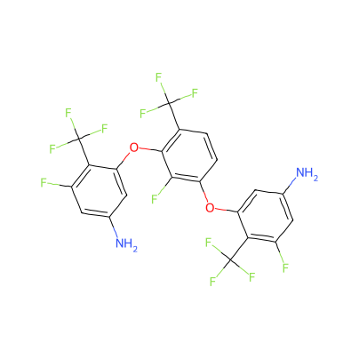 Nc1cc(F)c(C(F)(F)F)c(Oc2ccc(C(F)(F)F)c(Oc3cc(N)cc(F)c3C(F)(F)F)c2F)c1